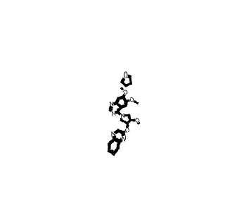 C1CCOC1.COc1cc2ncnc(N3CC(OC)C(Oc4cnc5ccccc5n4)C3)c2cc1OC